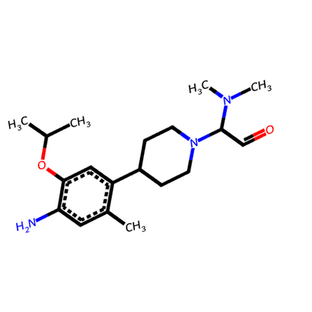 Cc1cc(N)c(OC(C)C)cc1C1CCN(C(C=O)N(C)C)CC1